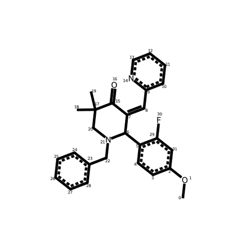 COc1ccc(C2C(=Cc3ccccn3)C(=O)C(C)(C)CN2Cc2ccccc2)c(F)c1